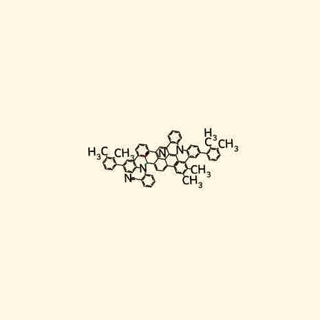 Cc1cccc(-c2ccc(N(C3=C4C=CC5=C6C(=CC=C(C=C3)C46)C(N(c3ccccc3C#N)c3ccc(-c4cccc(C)c4C)cc3-c3ccccc3)C=C5)c3ccccc3C#N)c(-c3cccc(C)c3C)c2)c1C